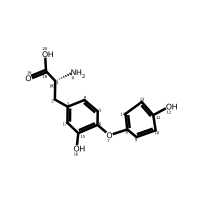 N[C@H](Cc1ccc(Oc2ccc(O)cc2)c(O)c1)C(=O)O